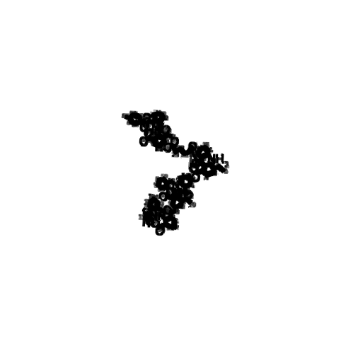 CCc1ccc(C(=O)O)c(C(=O)c2ccccc2NC(=O)CCCC(=O)O)c1N.CCc1cccc(C(=O)O)c1NC(=O)c1ccccc1NCc1ccccc1.CCc1cccc(C(=O)O)c1NC(=O)c1ccccc1NS(=O)(=O)c1ccc(C)cc1.CCc1cccc(C(=O)O)c1NC(=O)c1ccccc1NS(C)(=O)=O